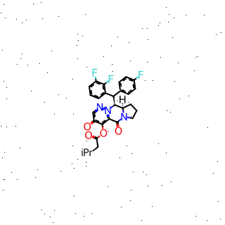 CC(C)CC(=O)Oc1c2n(ncc1=O)[C@@H](C(c1ccc(F)cc1)c1cccc(F)c1F)[C@H]1CCCN1C2=O